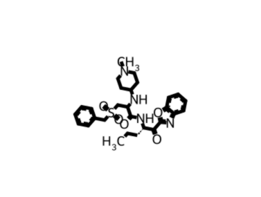 CCC[C@H](NC(=O)C(CS(=O)(=O)Cc1ccccc1)NC1CCN(C)CC1)C(=O)c1nc2ccccc2o1